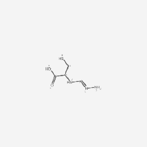 NN=CNC(CS)C(=O)O